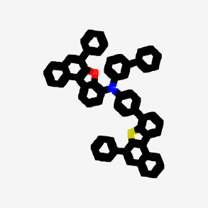 c1ccc(-c2cccc(N(c3ccc(-c4cccc5c4sc4c(-c6ccccc6)cc6ccccc6c45)cc3)c3cccc4c3oc3c(-c5ccccc5)cc5ccccc5c34)c2)cc1